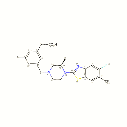 Cc1cc(CC(=O)O)cc(CN2CCN(c3nc4cc(F)c(C(F)(F)F)cc4s3)[C@H](C)C2)c1